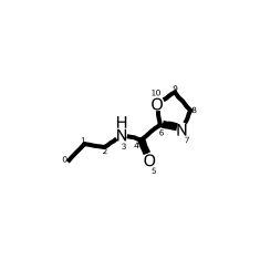 CCCNC(=O)C1=NCCO1